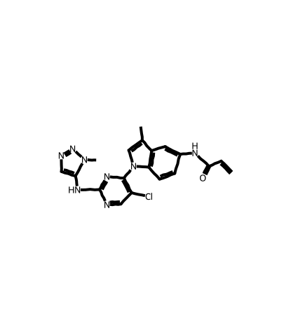 C=CC(=O)Nc1ccc2c(c1)c(C)cn2-c1nc(Nc2cnnn2C)ncc1Cl